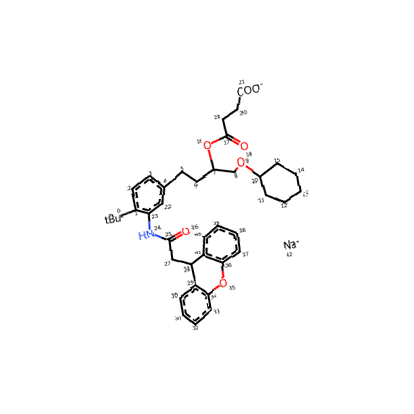 CC(C)(C)c1ccc(CCC(COC2CCCCC2)OC(=O)CCC(=O)[O-])cc1NC(=O)CC1c2ccccc2Oc2ccccc21.[Na+]